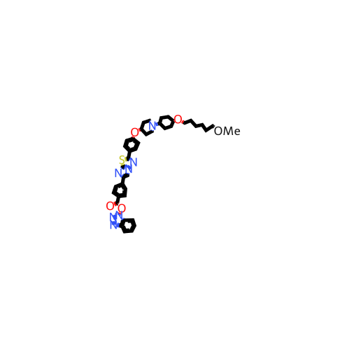 COCCCCCCOC1CCC(N2CCC(Oc3ccc(-c4nn5cc(-c6ccc(C(=O)On7nnc8ccccc87)cc6)nc5s4)cc3)CC2)CC1